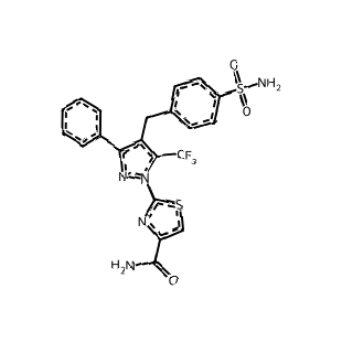 NC(=O)c1csc(-n2nc(-c3ccccc3)c(Cc3ccc(S(N)(=O)=O)cc3)c2C(F)(F)F)n1